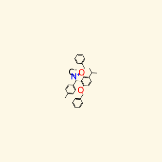 [C-]#[N+]C(c1ccc(C)cc1)c1c(OCc2ccccc2)ccc(C(C)C)c1OCc1ccccc1